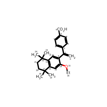 C=C(c1ccc(C(=O)O)cc1)c1cc2c(cc1OCC)C(C)(C)CCC2(C)C